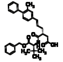 Cc1cc(C=CC[C@H](CC(=O)O)C(=O)N[C@H](C(=O)OCc2ccccc2)C(C)(C)C)ccc1-c1ccccc1